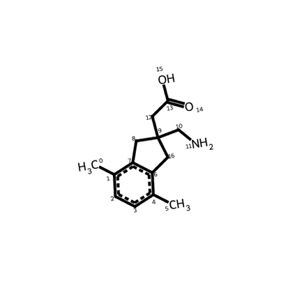 Cc1ccc(C)c2c1CC(CN)(CC(=O)O)C2